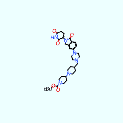 CC(C)(C)OC(=O)N1CCC(N2CCC(CN3CCN(c4ccc5c(c4)CN([C@H]4CCC(=O)NC4=O)C5=O)CC3)CC2)CC1